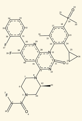 C=C(F)C(=O)N1CCN(c2nc(=O)n(-c3c(C)cc(P(C)(C)=O)cc3C3CC3)c3nc(-c4ccccc4F)c(F)cc23)[C@@H](C)C1